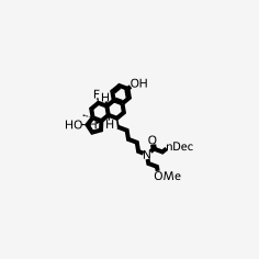 CCCCCCCCCCCC(=O)N(CCCCC[C@@H]1Cc2cc(O)ccc2[C@@H]2[C@@H]1[C@@H]1CC[C@H](O)[C@@]1(C)C[C@@H]2F)CCOC